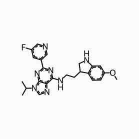 COc1ccc2c(c1)NCC2CCNc1nc(-c2cncc(F)c2)nc2c1ncn2C(C)C